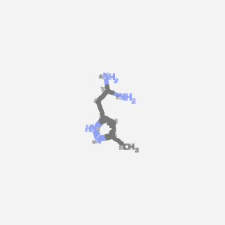 Cc1cc(CC(N)N)[nH]n1